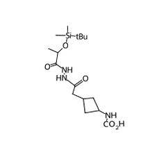 CC(O[Si](C)(C)C(C)(C)C)C(=O)NNC(=O)CC1CC(NC(=O)O)C1